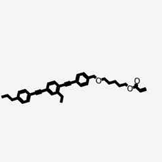 C=CC(=O)OCCCCCOCc1ccc(C#Cc2ccc(C#Cc3ccc(CCC)cc3)cc2CC)cc1